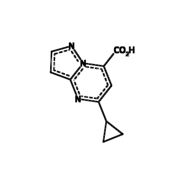 O=C(O)c1cc(C2CC2)nc2ccnn12